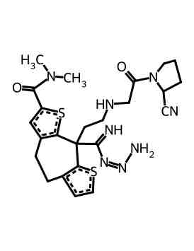 CN(C)C(=O)c1cc2c(s1)C(CCNCC(=O)N1CCCC1C#N)(C(=N)/N=N\N)c1sccc1CC2